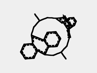 CC1Cc2c3ccccc3c(c3ccccc23)CC(C)Cc2c3ccccc3c(c3ccccc23)C1